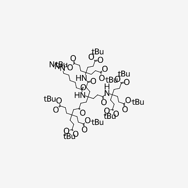 CC(C)(C)OC(=O)CCC(CCC(=O)OC(C)(C)C)(CCC(=O)OC(C)(C)C)CC(=O)CCC(CCC(=O)NC(CCC(=O)OC(C)(C)C)(CCC(=O)OC(C)(C)C)CCC(=O)OC(C)(C)C)(CCC(=O)NC(CCC(=O)OC(C)(C)C)(CCC(=O)OC(C)(C)C)CCC(=O)OC(C)(C)C)NC(=O)CCCCCN=[N+]=[N-]